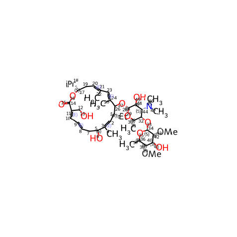 CC[C@@H]1/C=C(/C)[C@@H](O)C/C=C/C=C(\CO)C(=O)O[C@H](C(C)C)C/C=C(C)/C=C(\C)C1O[C@H]1O[C@@H](C)C(O[C@@H]2O[C@H](C)[C@@H](OC)[C@H](O)[C@H]2OC)[C@@H](N(C)C)[C@@H]1O